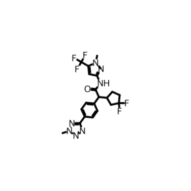 Cn1nnc(-c2ccc(C(C(=O)Nc3cc(C(F)(F)F)n(C)n3)C3CCC(F)(F)C3)cc2)n1